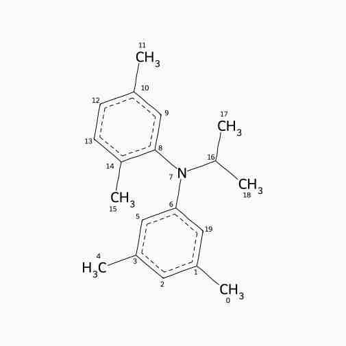 Cc1cc(C)cc(N(c2cc(C)ccc2C)C(C)C)c1